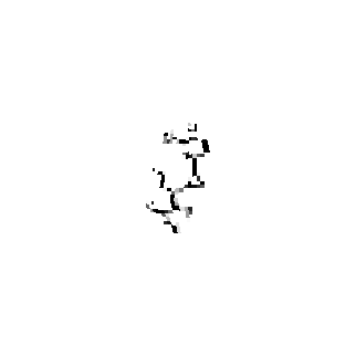 CCCC/C(=C(/F)C(=O)O)C1CC1c1ccc(Cl)c(Cl)c1